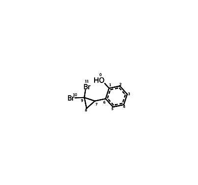 Oc1ccccc1C1CC1(Br)Br